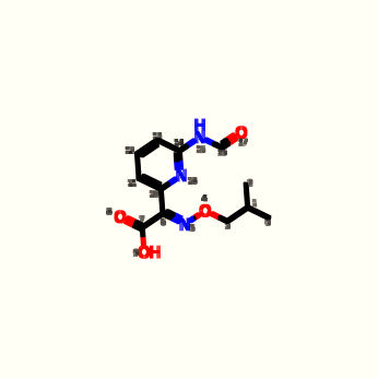 CC(C)CO/N=C(/C(=O)O)c1cccc(NC=O)n1